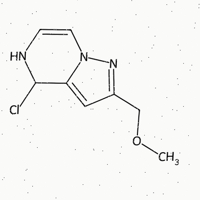 COCc1cc2n(n1)C=CNC2Cl